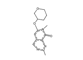 Cc1ncc2cc(OC3CCCOC3)n(C)c(=O)c2n1